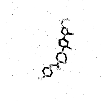 CC(=O)NC[C@H]1CN(c2ccc(N3CCNN(C(=O)NN4CCN(C)CC4)CC3)c(F)c2)C(=O)O1